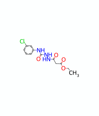 CCOC(=O)CC(=O)NNC(=O)Nc1cccc(Cl)c1